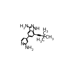 CC(C)(C)C#Cc1cc(-c2ccnc(N)c2)cc2c(N)n[nH]c12